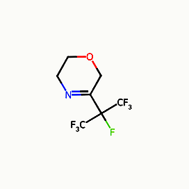 FC(F)(F)C(F)(C1=NCCOC1)C(F)(F)F